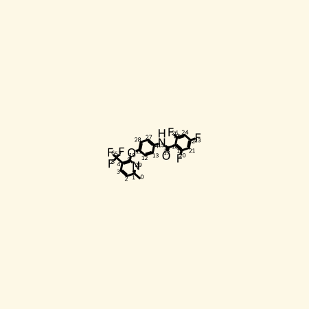 Cc1ccc(C(F)(F)F)c(Oc2ccc(NC(=O)c3c(F)cc(F)cc3F)cc2)n1